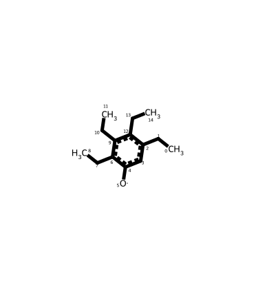 CCc1cc([O])c(CC)c(CC)c1CC